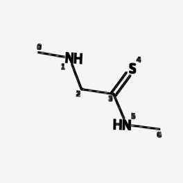 CNCC(=S)NC